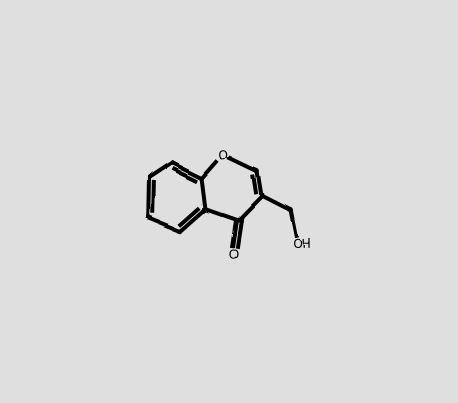 O=c1c(CO)coc2ccccc12